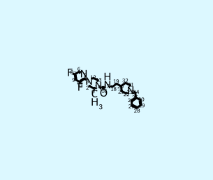 C[C@@H]1CN(c2ncc(F)cc2F)CCN1C(=O)NCCC1CCN(Cc2ccccc2)CC1